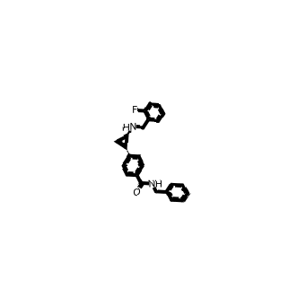 O=C(NCc1ccccc1)c1ccc([C@@H]2C[C@H]2NCc2ccccc2F)cc1